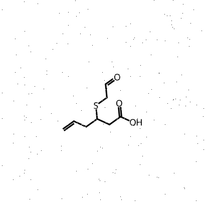 C=CCC(CC(=O)O)SCC=O